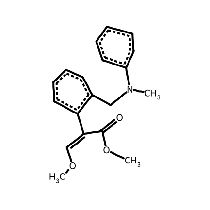 COC=C(C(=O)OC)c1ccccc1CN(C)c1ccccc1